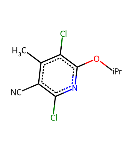 Cc1c(Cl)c(OC(C)C)nc(Cl)c1C#N